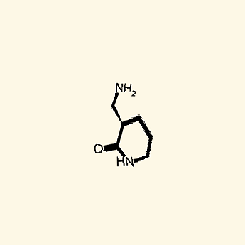 NC[C@H]1CCCNC1=O